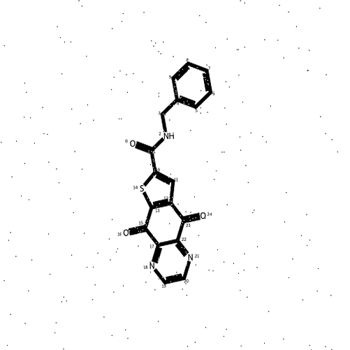 O=C(NCc1ccccc1)c1cc2c(s1)C(=O)c1nccnc1C2=O